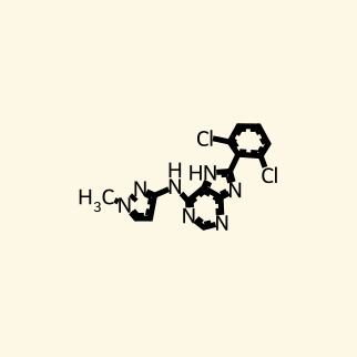 Cn1ccc(Nc2ncnc3nc(-c4c(Cl)cccc4Cl)[nH]c23)n1